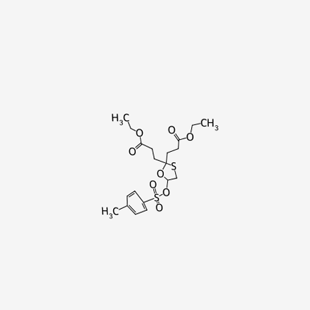 CCOC(=O)CCC1(CCC(=O)OCC)OC(OS(=O)(=O)c2ccc(C)cc2)CS1